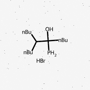 Br.CCCCC(CCCC)C(O)(P)CCCC